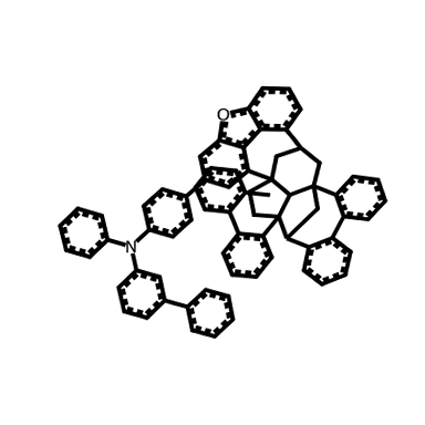 Cc1ccccc1-c1ccccc1C12CCC34CC(CC5(CC1c1ccccc1-c1ccccc15)C32)c1cccc2oc3cc(-c5ccc(N(c6ccccc6)c6cccc(-c7ccccc7)c6)cc5)cc4c3c12